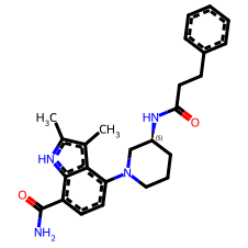 Cc1[nH]c2c(C(N)=O)ccc(N3CCC[C@H](NC(=O)CCc4ccccc4)C3)c2c1C